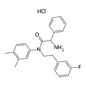 Cc1ccc(N(CCc2cccc(F)c2)C(=O)C(N)c2ccccc2)cc1C.Cl